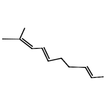 C/C=C/CC/C=C/C=C(C)C